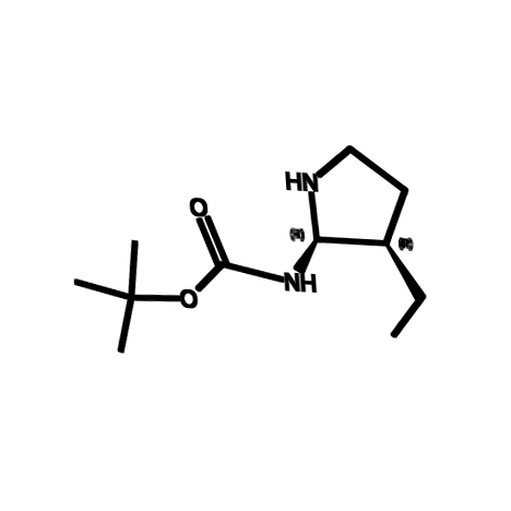 CC[C@@H]1CCN[C@@H]1NC(=O)OC(C)(C)C